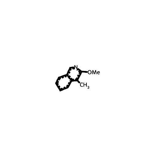 COc1ncc2ccccc2c1C